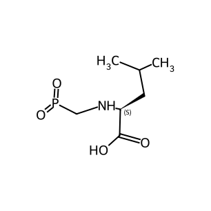 CC(C)C[C@H](NCP(=O)=O)C(=O)O